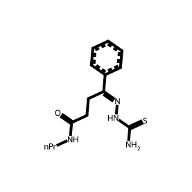 CCCNC(=O)CCC(=NNC(N)=S)c1ccccc1